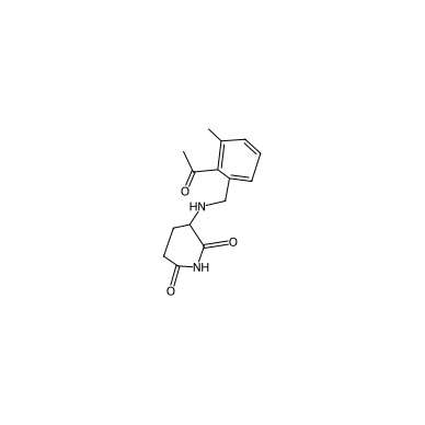 CC(=O)c1c(C)cccc1CNC1CCC(=O)NC1=O